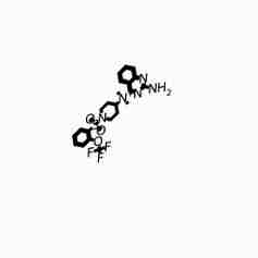 C[N+](C)(c1nc(N)nc2ccccc12)C1CCN(S(=O)(=O)c2ccccc2OC(F)(F)F)CC1